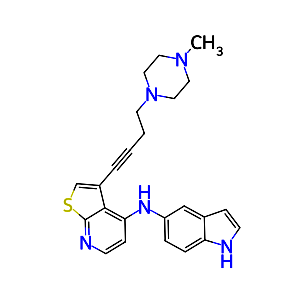 CN1CCN(CCC#Cc2csc3nccc(Nc4ccc5[nH]ccc5c4)c23)CC1